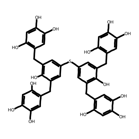 Oc1cc(O)c(Cc2cc(Sc3cc(Cc4cc(O)c(O)cc4O)c(O)c(Cc4cc(O)c(O)cc4O)c3)cc(Cc3cc(O)c(O)cc3O)c2O)cc1O